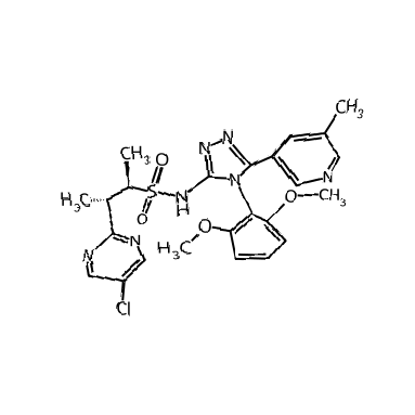 COc1cccc(OC)c1-n1c(NS(=O)(=O)[C@H](C)[C@@H](C)c2ncc(Cl)cn2)nnc1-c1cncc(C)c1